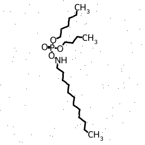 CCCCCCCCCCCCNOP(=O)(OCCCC)OCCCCCC